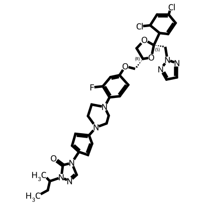 CCC(C)n1ncn(-c2ccc(N3CCN(c4ccc(OC[C@@H]5CO[C@@](Cn6nccn6)(C6C=CC(Cl)=CC6Cl)O5)cc4F)CC3)cc2)c1=O